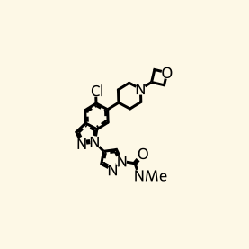 CNC(=O)n1cc(-n2ncc3cc(Cl)c(C4CCN(C5COC5)CC4)cc32)cn1